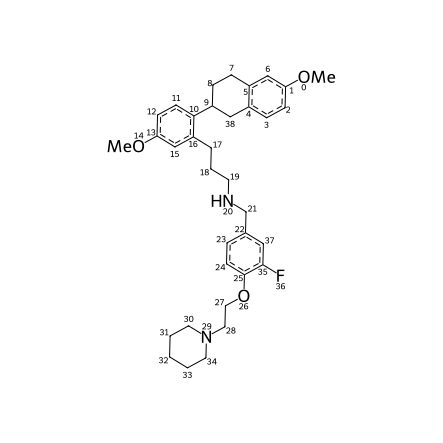 COc1ccc2c(c1)CCC(c1ccc(OC)cc1CCCNCc1ccc(OCCN3CCCCC3)c(F)c1)C2